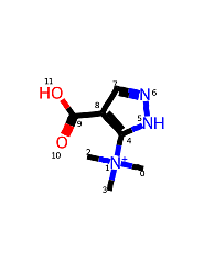 C[N+](C)(C)c1[nH]ncc1C(=O)O